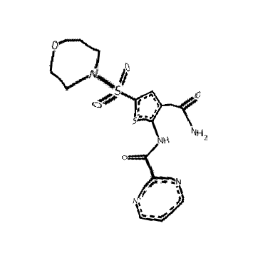 NC(=O)c1cc(S(=O)(=O)N2CCOCC2)sc1NC(=O)c1ncccn1